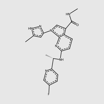 CNC(=O)c1cn(-c2cc(C)[nH]n2)c2nc(N[C@@H](C)c3ccc(F)cn3)ccc12